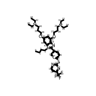 CCCCn1c(-c2ccc(Sc3nccc(C(F)(F)F)n3)cc2)nc2c(OCCCN(CC)CC)cc(OCCCN(CC)CC)cc21